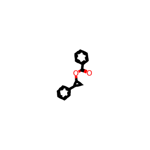 O=C(OC1CC1c1ccccc1)c1ccccc1